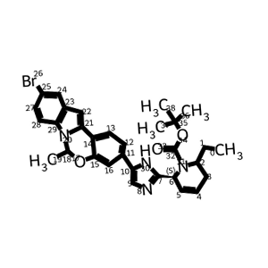 CCC1CC=C[C@@H](c2ncc(-c3ccc4c(c3)OC(C)n3c-4cc4cc(Br)ccc43)[nH]2)N1C(=O)OC(C)(C)C